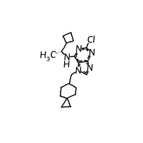 C[C@@H](Nc1nc(Cl)nc2ncn(CC3CCC4(CC3)CC4)c12)C1CCC1